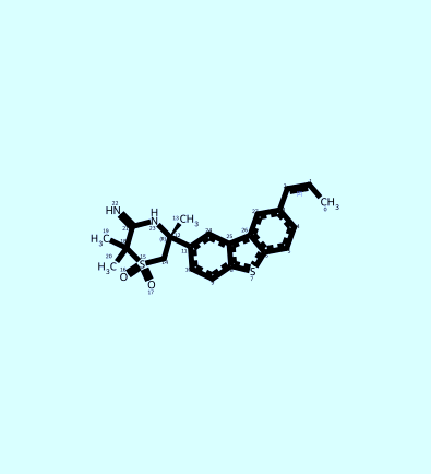 C/C=C\c1ccc2sc3ccc([C@]4(C)CS(=O)(=O)C(C)(C)C(=N)N4)cc3c2c1